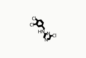 Clc1cncc(NCc2ccc(Cl)c(Cl)c2)n1